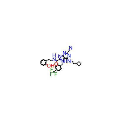 N#Cc1nc(NCCC2CCC2)c2c(n1)nc(C(=O)NCCc1ccccc1O)n2Cc1ccc(C(F)(F)F)cc1